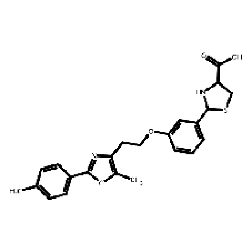 Cc1ccc(-c2nc(CCOc3cccc(C4NC(C(=O)O)CS4)c3)c(C)o2)cc1